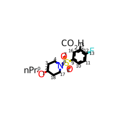 CCCOC1CCN(S(=O)(=O)c2ccc(F)c(C(=O)O)c2)CC1